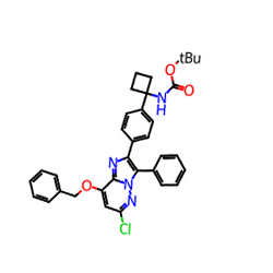 CC(C)(C)OC(=O)NC1(c2ccc(-c3nc4c(OCc5ccccc5)cc(Cl)nn4c3-c3ccccc3)cc2)CCC1